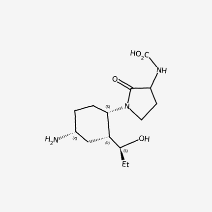 CC[C@H](O)[C@@H]1C[C@H](N)CC[C@@H]1N1CCC(NC(=O)O)C1=O